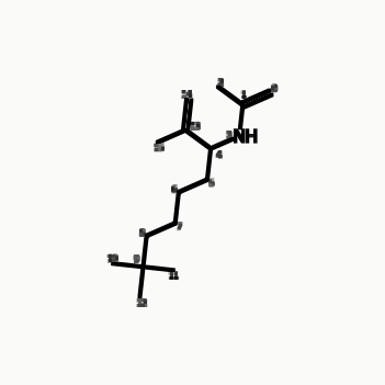 C=C(C)NC(CCCCC(C)(C)C)C(=C)C